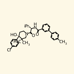 Cc1ccc(-c2cccc(C(=O)N[C@@H](C(=O)N3CC[C@](O)(c4ccc(Cl)cc4)C(C)(C)C3)C(C)C)c2)cc1